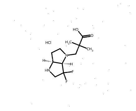 CC(C)(CN1CC[C@@H]2NCC(F)(F)[C@@H]21)C(=O)O.Cl